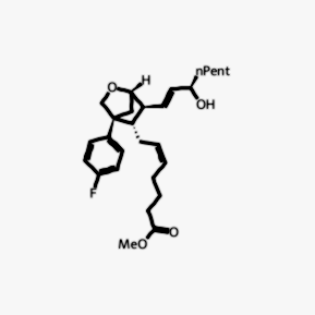 CCCCC[C@@H](O)/C=C/[C@@H]1[C@@H]2C[C@@](c3ccc(F)cc3)(CO2)[C@H]1C/C=C\CCCC(=O)OC